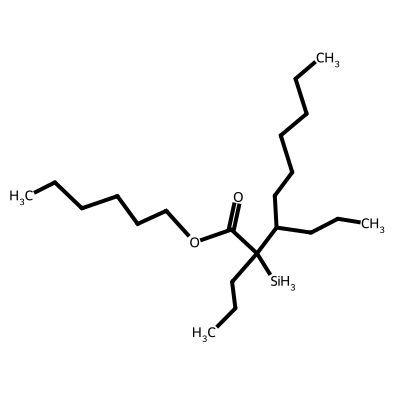 CCCCCCOC(=O)C([SiH3])(CCC)C(CCC)CCCCCC